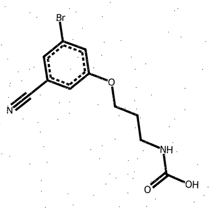 N#Cc1cc(Br)cc(OCCCNC(=O)O)c1